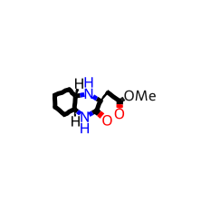 COC(=O)C[C@@H]1N[C@H]2CCCC[C@@H]2NC1=O